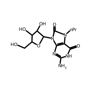 CCCn1c(=O)n(C2OC(CO)C(O)C2O)c2nc(N)[nH]c(=O)c21